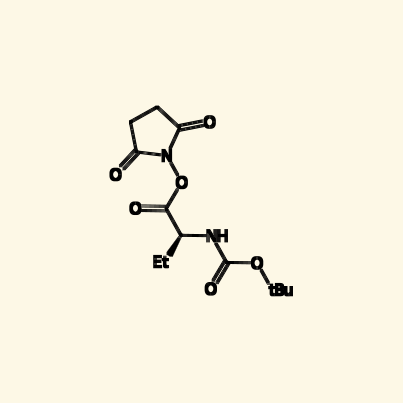 CC[C@H](NC(=O)OC(C)(C)C)C(=O)ON1C(=O)CCC1=O